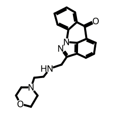 O=c1c2ccccc2n2nc(CNCCN3CCOCC3)c3cccc1c32